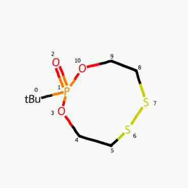 CC(C)(C)P1(=O)OCCSSCCO1